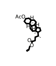 C=CCOC(=O)CC[C@@H](C)C1CC[C@H]2[C@@H]3CC[C@@H]4C[C@H](OC(C)=O)CC[C@]4(C)[C@H]3C=C[C@]12C